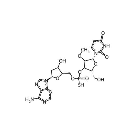 COC1C(O[P@](=O)(S)OC[C@H]2O[C@@H](n3cnc4c(N)ncnc43)CC2O)[C@@H](CO)O[C@H]1n1ccc(=O)[nH]c1=O